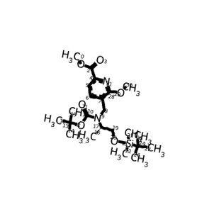 COC(=O)c1ccc(CN(C(=O)OC(C)(C)C)[C@@H](C)CO[Si](C)(C)C(C)(C)C)c(OC)n1